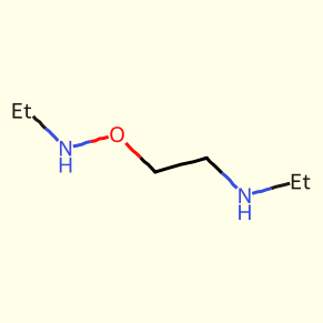 CCNCCONCC